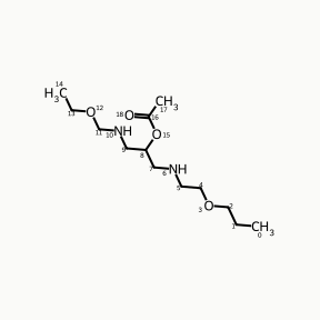 CCCOCCNCC(CNCOCC)OC(C)=O